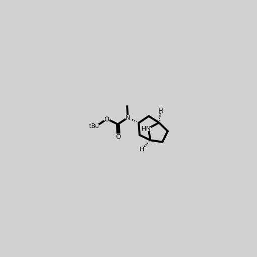 CN(C(=O)OC(C)(C)C)[C@@H]1C[C@H]2CC[C@@H](C1)N2